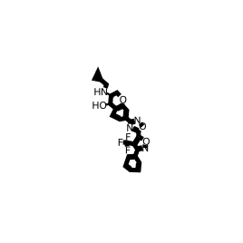 O[C@@H]1c2ccc(-c3noc(-c4onc(-c5ccccc5)c4C(F)(F)F)n3)cc2OC[C@@H]1NCC1CC1